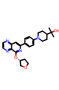 CC(C)(O)C1CCN(c2ccc(-c3cc4nccnc4c(O[C@@H]4CCOC4)n3)cc2)CC1